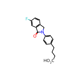 O=C(O)CCCc1ccc(N2Cc3ccc(F)cc3C2=O)cc1